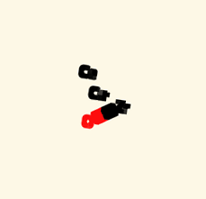 [Ce].[Cu].[O]=[Zr]